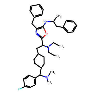 CCN(CC)C(CC1CCC(C(c2ccc(F)cc2)N(C)C)CC1)c1nc(Cc2ccccc2)c(NC(C)Cc2ccccc2)o1